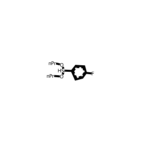 CCCO[SiH](OCCC)c1ccc(F)cc1